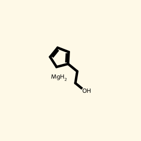 OCCC1=CC=CC1.[MgH2]